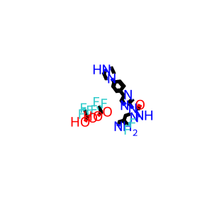 NCC(Cc1n[nH]c(=O)n1-c1cnc(-c2ccc(N3CCNCC3)cc2)cn1)=C(F)F.O=C(O)C(F)(F)F.O=C(O)C(F)(F)F